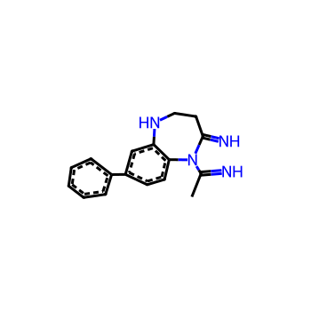 CC(=N)N1C(=N)CCNc2cc(-c3ccccc3)ccc21